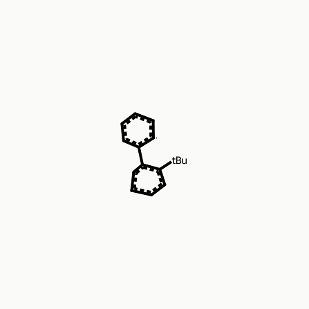 CC(C)(C)c1ccccc1-c1[c]cccc1